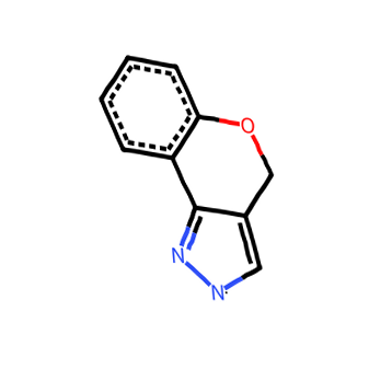 C1=C2COc3ccccc3C2=N[N]1